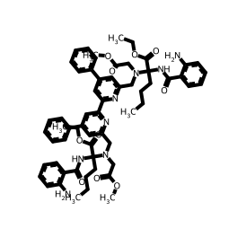 CCCCC(NC(=O)c1ccccc1N)(C(=O)OCC)N(CC(=O)OC)Cc1cc(-c2ccccc2)cc(-c2cc(-c3ccccc3)cc(CN(CC(=O)OC)C(CCCC)(NC(=O)c3ccccc3N)C(=O)OCC)n2)n1